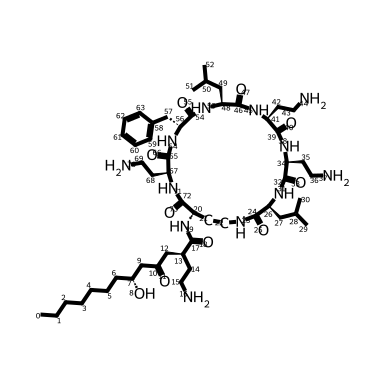 CCCCCCC[C@@H](O)CC(=O)C[C@H](CCN)C(=O)N[C@H]1CCNC(=O)[C@H](CC(C)C)NC(=O)[C@H](CCN)NC(=O)[C@H](CCN)NC(=O)[C@H](CC(C)C)NC(=O)[C@@H](Cc2ccccc2)NC(=O)[C@H](CCN)NC1=O